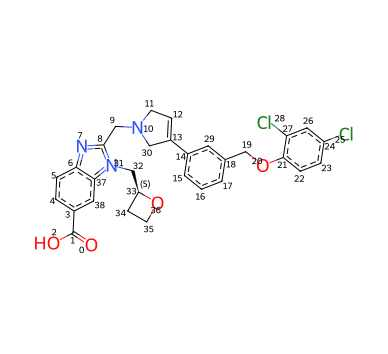 O=C(O)c1ccc2nc(CN3CC=C(c4cccc(COc5ccc(Cl)cc5Cl)c4)C3)n(C[C@@H]3CCO3)c2c1